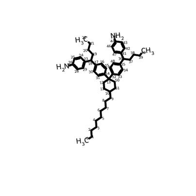 CCCCCCCCCCC1CCC(c2ccc(C(CCCC)c3ccc(N)cc3)cc2)(c2ccc(C(CCCC)c3ccc(N)cc3)cc2)CC1